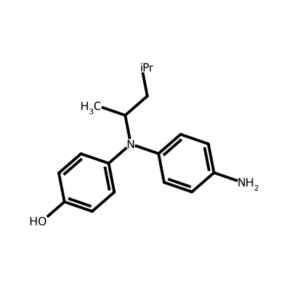 CC(C)CC(C)N(c1ccc(N)cc1)c1ccc(O)cc1